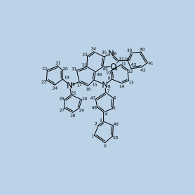 c1ccc(-c2ccc(N(c3ccccc3)c3cc(N(c4ccccc4)c4ccccc4)cc4ccc5nc(-c6ccccc6)oc5c34)cc2)cc1